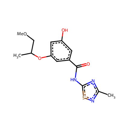 COCC(C)Oc1cc(O)cc(C(=O)Nc2nc(C)ns2)c1